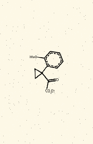 CCOC(=O)C(=O)C1(c2ccccc2OC)CC1